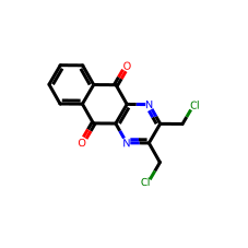 O=C1c2ccccc2C(=O)c2nc(CCl)c(CCl)nc21